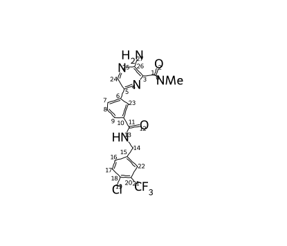 CNC(=O)c1nc(-c2cccc(C(=O)NCc3ccc(Cl)c(C(F)(F)F)c3)c2)cnc1N